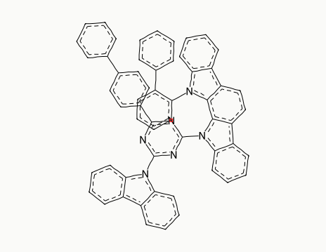 c1ccc(-c2ccc(-c3nc(-n4c5ccccc5c5ccccc54)nc(-n4c5ccccc5c5ccc6c7ccccc7n(-c7ccccc7-c7ccccc7)c6c54)n3)cc2)cc1